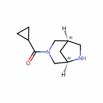 O=C(C1CC1)N1C[C@H]2CN[C@H](C2)C1